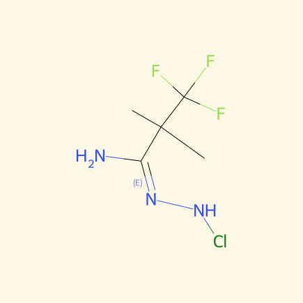 CC(C)(/C(N)=N\NCl)C(F)(F)F